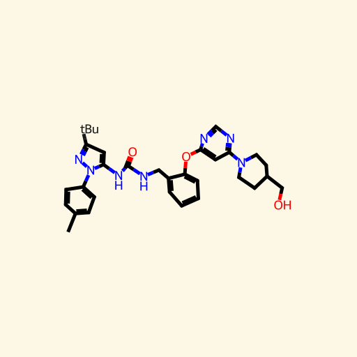 Cc1ccc(-n2nc(C(C)(C)C)cc2NC(=O)NCc2ccccc2Oc2cc(N3CCC(CO)CC3)ncn2)cc1